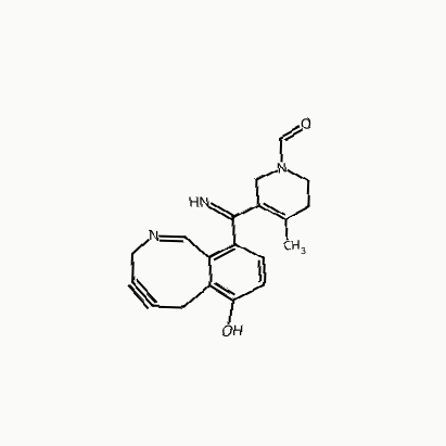 CC1=C(C(=N)c2ccc(O)c3c2/C=N\CC#CC3)CN(C=O)CC1